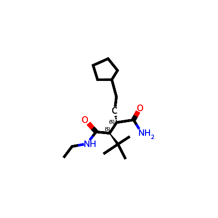 CCNC(=O)[C@@H]([C@H](CCC1CCCC1)C(N)=O)C(C)(C)C